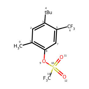 Cc1cc(C(C)(C)C)c(C(F)(F)F)cc1OS(=O)(=O)C(F)(F)F